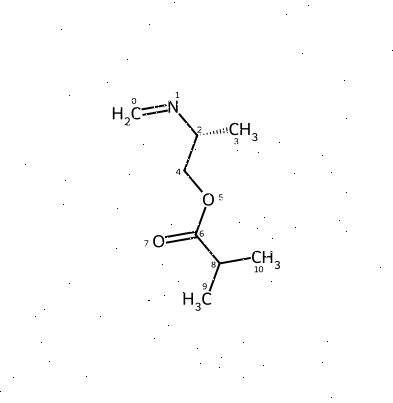 C=N[C@H](C)COC(=O)C(C)C